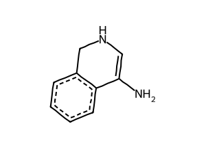 NC1=CNCc2ccccc21